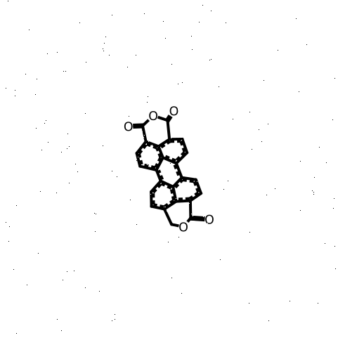 O=C1OCc2ccc3c4ccc5c6c(ccc(c7ccc1c2c37)c64)C(=O)OC5=O